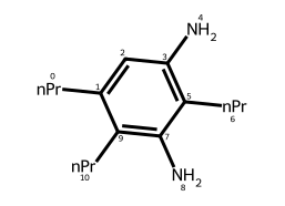 CCCc1cc(N)c(CCC)c(N)c1CCC